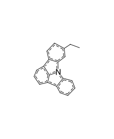 CCc1ccc2c3cccc4c5ccccc5n(c2c1)c43